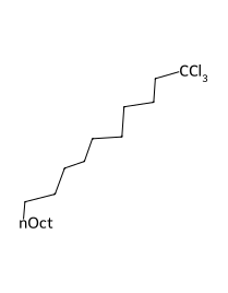 [CH2]CCCCCCCCCCCCCCCCC(Cl)(Cl)Cl